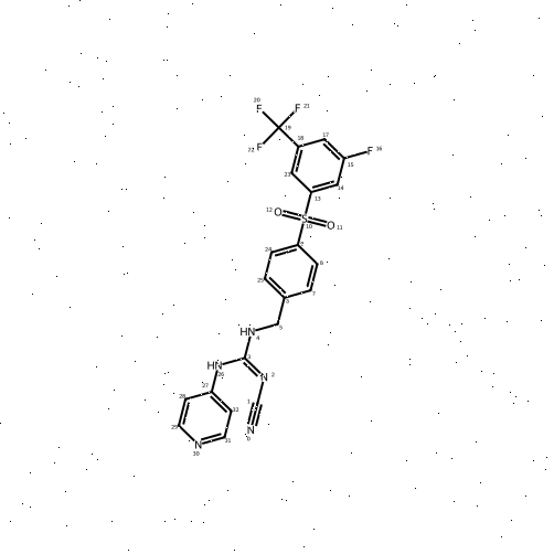 N#CN=C(NCc1ccc(S(=O)(=O)c2cc(F)cc(C(F)(F)F)c2)cc1)Nc1ccncc1